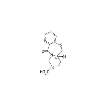 O=C(O)[C@H]1CC[C@H]2CSc3ccccc3C(=O)N2C1